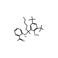 CCCCCC(C)(Pc1ccccc1C(C)=O)c1cc(C(C)(C)C)cc(C(C)(C)C)c1OC